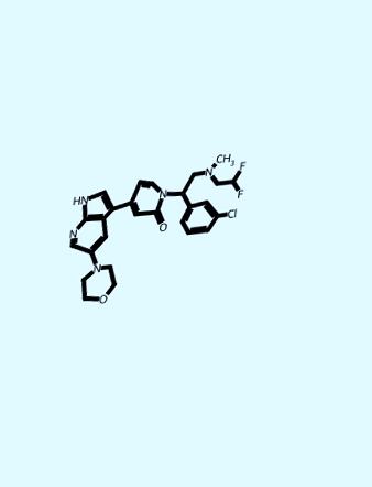 CN(CC(F)F)CC(c1cccc(Cl)c1)n1ccc(-c2c[nH]c3ncc(N4CCOCC4)cc23)cc1=O